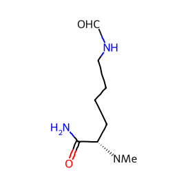 CN[C@@H](CCCCNC=O)C(N)=O